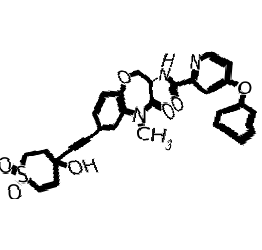 CN1C(=O)[C@@H](NC(=O)c2cc(Oc3ccccc3)ccn2)COc2ccc(C#CC3(O)CCS(=O)(=O)CC3)cc21